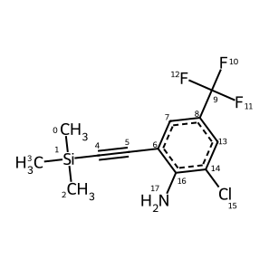 C[Si](C)(C)C#Cc1cc(C(F)(F)F)cc(Cl)c1N